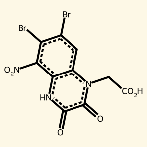 O=C(O)Cn1c(=O)c(=O)[nH]c2c([N+](=O)[O-])c(Br)c(Br)cc21